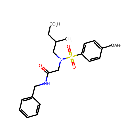 COc1ccc(S(=O)(=O)N(CC(=O)NCc2ccccc2)CC(C)CC(=O)O)cc1